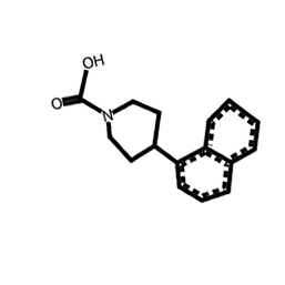 O=C(O)N1CCC(c2cccc3ccccc23)CC1